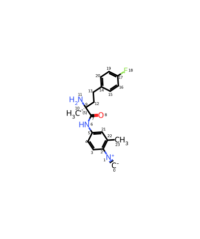 [C-]#[N+]c1ccc(NC(=O)[C@@](C)(N)CCc2ccc(F)cc2)cc1C